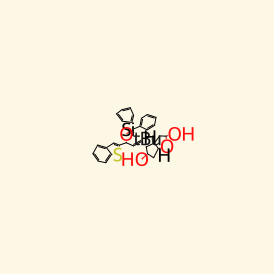 CC(C)(C)[Si](O[C@H](C=C[C@@H]1[C@H]2CC(O)O[C@H]2C[C@H]1O)c1cc2ccccc2s1)(c1ccccc1)c1ccccc1